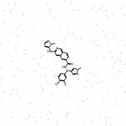 Cn1cc([C@@H](NC(=O)c2ccc3cnc(Nc4ccnn4C)cc3c2)c2ccc(Cl)c(F)c2)cn1